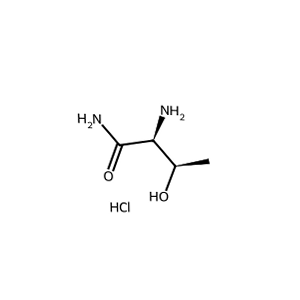 C[C@@H](O)[C@H](N)C(N)=O.Cl